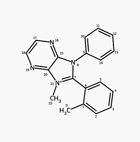 Cc1ccccc1-c1n(-c2ccccc2)c2nccnc2[n+]1C